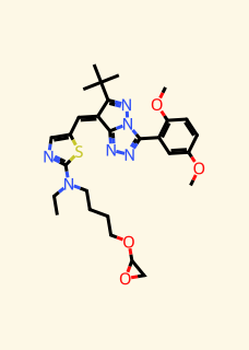 CCN(CCCCOC1CO1)c1ncc(/C=c2/c(C(C)(C)C)nn3c(-c4cc(OC)ccc4OC)nnc23)s1